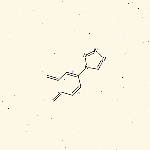 C=C/C=C\C(=C/C=C)n1cnnn1